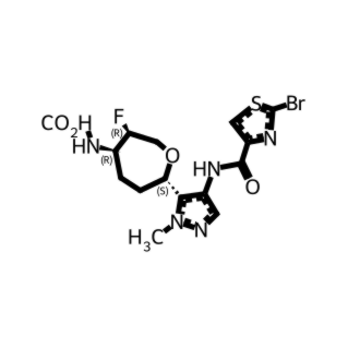 Cn1ncc(NC(=O)c2csc(Br)n2)c1[C@@H]1CC[C@@H](NC(=O)O)[C@@H](F)CO1